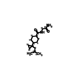 CN(C)CC1(C2CCC(C(=O)NCC(N)=O)CC2)CC1